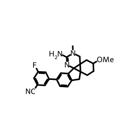 COC1CCC23Cc4ccc(-c5cc(F)cc(C#N)c5)cc4C24N=C(N)N(C)CC34C1